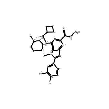 CC(C)c1cc(-c2nc3nc(C(=N)NC(=O)O)nc(N[C@H](C)C4CCC4)c3n2C[C@H]2CC[C@H](C)CC2)ncc1F